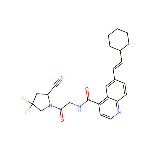 N#CC1CC(F)(F)CN1C(=O)CNC(=O)c1ccnc2ccc(C=CC3CCCCC3)cc12